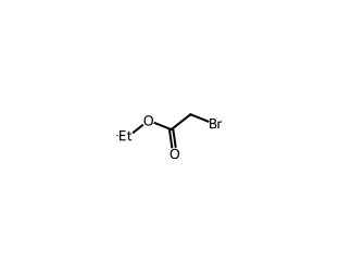 C[CH]OC(=O)CBr